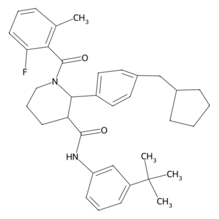 Cc1cccc(F)c1C(=O)N1CCCC(C(=O)Nc2cccc(C(C)(C)C)c2)C1c1ccc(CC2CCCC2)cc1